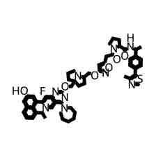 CCc1cccc2cc(O)cc(-c3ncc4c(N5CCCCCC5)nc(OCC56CCCN5C(COc5cc(CC(=O)N7CCCC7C(=O)NC(C)c7ccc(-c8scnc8C)cc7)on5)CC6)nc4c3F)c12